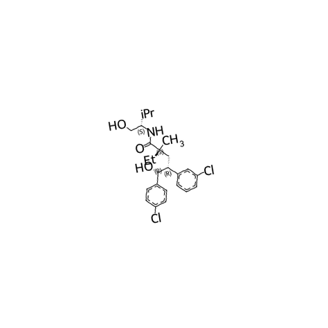 CC[C@@](C)(C[C@H](c1cccc(Cl)c1)[C@@H](O)c1ccc(Cl)cc1)C(=O)N[C@H](CO)C(C)C